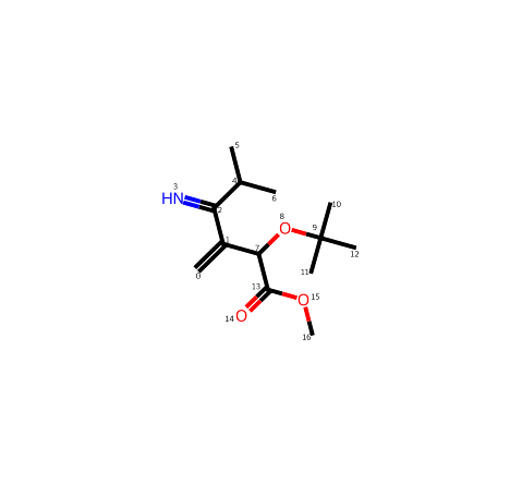 C=C(C(=N)C(C)C)C(OC(C)(C)C)C(=O)OC